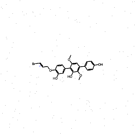 COc1cc(-c2ccc(O)cc2)c(OC)c(O)c1-c1ccc(OC/C=C/Br)c(O)c1